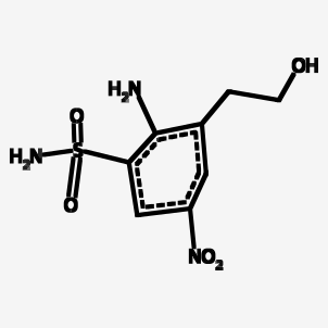 Nc1c(CCO)cc([N+](=O)[O-])cc1S(N)(=O)=O